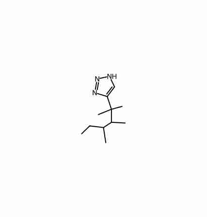 CCC(C)C(C)C(C)(C)c1c[nH]nn1